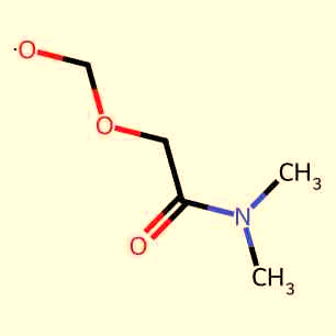 CN(C)C(=O)COC[O]